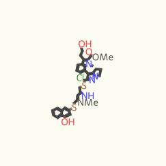 CN/C(=C\C(=N)CSCc1nn2c(c1-c1c(Cl)ccc3c(CCCO)c(C(=O)OC)n(C)c13)CCC2)CSc1cc(O)c2ccccc2c1